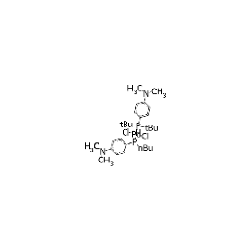 CCCC[P](c1ccc(N(C)C)cc1)[Pd]([Cl])([Cl])[PH](c1ccc(N(C)C)cc1)(C(C)(C)C)C(C)(C)C